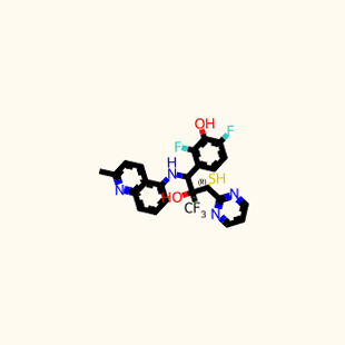 Cc1ccc2c(NC(c3ccc(F)c(O)c3F)C(O)([C@H](S)c3ncccn3)C(F)(F)F)cccc2n1